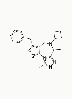 Cc1sc2c(c1Cc1ccccc1)CN(C1CCC1)[C@@H](C)c1nnc(C)n1-2